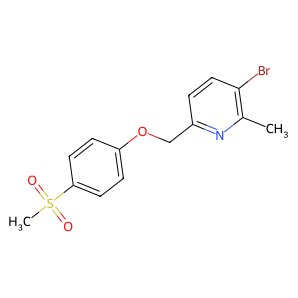 Cc1nc(COc2ccc(S(C)(=O)=O)cc2)ccc1Br